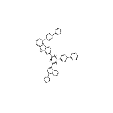 c1ccc(-c2ccc(-c3nc(-c4ccc5c(c4)oc4cccc(-c6ccc(-c7ccccc7)cc6)c45)nc(-c4ccc(-c5ccccc5)c5ccccc45)n3)cc2)cc1